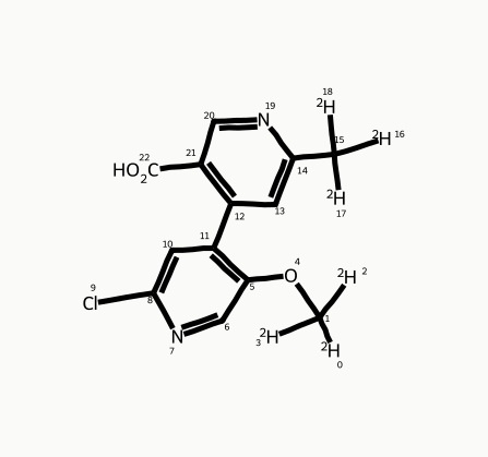 [2H]C([2H])([2H])Oc1cnc(Cl)cc1-c1cc(C([2H])([2H])[2H])ncc1C(=O)O